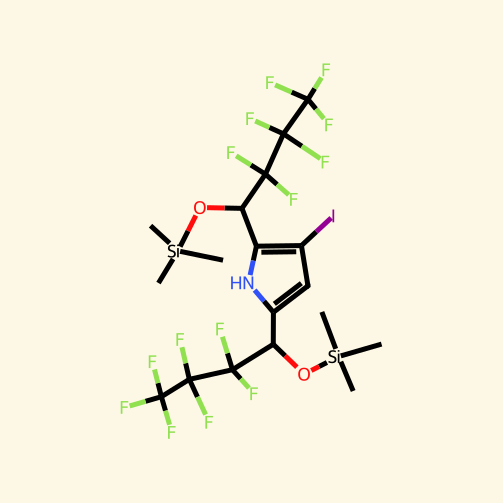 C[Si](C)(C)OC(c1cc(I)c(C(O[Si](C)(C)C)C(F)(F)C(F)(F)C(F)(F)F)[nH]1)C(F)(F)C(F)(F)C(F)(F)F